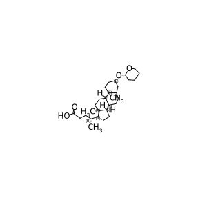 C[C@H](CCC(=O)O)[C@H]1CC[C@H]2[C@@H]3CC=C4C[C@@H](OC5CCCCO5)CC[C@]4(C)[C@H]3CC[C@]12C